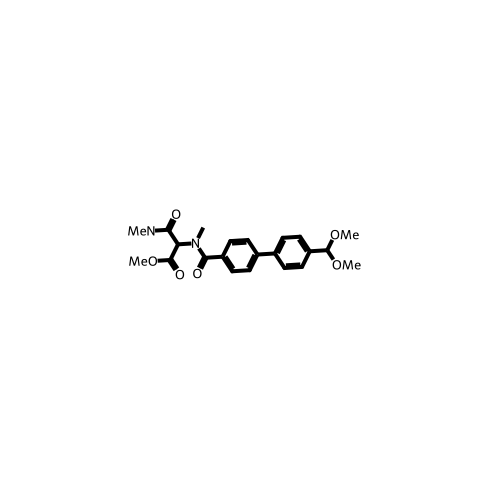 CNC(=O)C(C(=O)OC)N(C)C(=O)c1ccc(-c2ccc(C(OC)OC)cc2)cc1